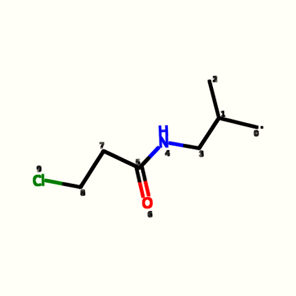 [CH2]C(C)CNC(=O)CCCl